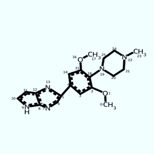 COc1cc(-c2cnc3[nH]ccc3n2)cc(OC)c1N1CCN(C)CC1